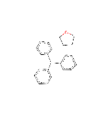 C1CCOC1.c1ccc(C(c2ccccc2)c2ccccc2)cc1